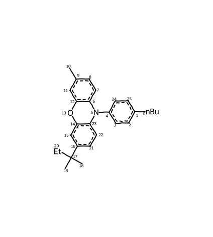 CCCCc1ccc(N2c3ccc(C)cc3Oc3cc(C(C)(C)CC)ccc32)cc1